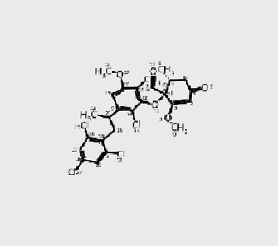 COC1=CC(=O)C[C@@H](C)[C@]1(C=O)Oc1c(C)c(OC)cc(C(C)Cc2c(Cl)cc(Cl)cc2Cl)c1Cl